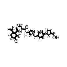 O=C(Nc1cnn(Cc2ccc(N3CCC(CO)C3)nc2)c1)c1cncc(-c2c(C(F)F)ccc(Cl)c2F)n1